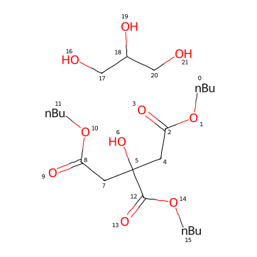 CCCCOC(=O)CC(O)(CC(=O)OCCCC)C(=O)OCCCC.OCC(O)CO